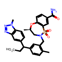 Cc1ccc(C(CC(=O)O)c2ccc3c(c2)nnn3C)cc1CN1C[C@@H](C)Oc2ccc(C(N)=O)cc2S1(=O)=O